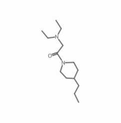 CCCC1CCN(C(=O)CN(CC)CC)CC1